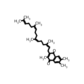 CC(C)=CCCC(C)=CCCC(C)=CCCC(C)=CCC1=C(C)C(=O)c2cc(C)c(C)cc2C1=O